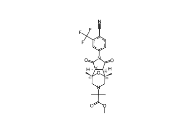 COC(=O)C(C)(C)N1C[C@@]2(C)O[C@@](C)(C1)[C@@H]1C(=O)N(c3ccc(C#N)c(C(F)(F)F)c3)C(=O)[C@@H]12